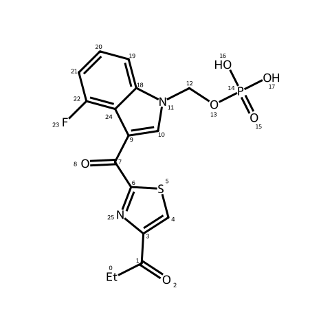 CCC(=O)c1csc(C(=O)c2cn(COP(=O)(O)O)c3cccc(F)c23)n1